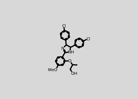 COc1ccc(C2=NC(c3ccc(Cl)cc3)C(c3ccc(Cl)cc3)N2)c(OC(C)CO)c1